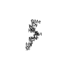 COc1cc(F)cc(-c2nccc3[nH]c(-c4n[nH]c5cnc(-c6cncc(CNCC7CCCC7)c6)cc45)nc23)c1